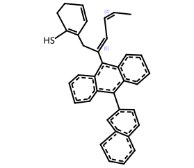 C/C=C\C=C(/CC1=C(S)CCC=C1)c1c2ccccc2c(-c2ccc3ccccc3c2)c2ccccc12